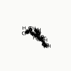 CC1(C)CCC(CN2CCN(c3ccc(C(=O)NS(=O)(=O)c4ccc(NCCN5CCC6CNC(=O)C6C5)c([N+](=O)[O-])c4)c(N4CCCOc5nc6[nH]ccc6cc54)c3)CC2)=C(c2ccc(Cl)cc2)C1